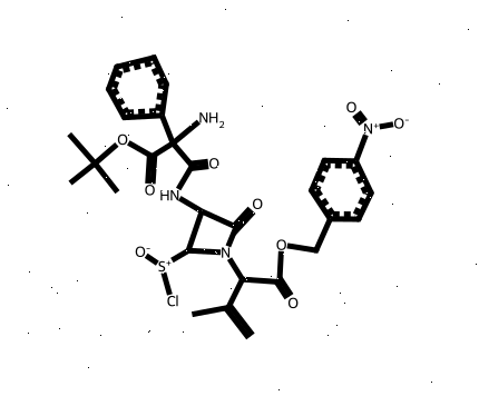 C=C(C)C(C(=O)OCc1ccc([N+](=O)[O-])cc1)N1C(=O)C(NC(=O)C(N)(C(=O)OC(C)(C)C)c2ccccc2)C1[S+]([O-])Cl